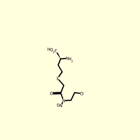 N[C@@H](CCSCC(=O)N(CCCl)N=O)C(=O)O